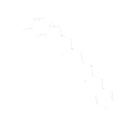 NC(Cc1ccccc1)C(=O)NCC(=O)Nc1nc2ccc(OC(F)(F)F)cc2s1